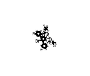 COc1c2c(c(Br)c3c4cc(F)ccc4n(C(=O)OC(C)(C)C)c13)c1cc(F)ccc1n2C(=O)OC(C)(C)C